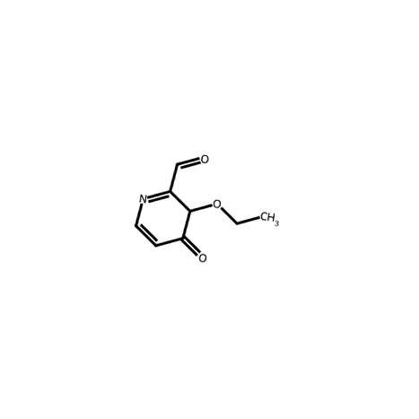 CCOC1C(=O)C=CN=C1C=O